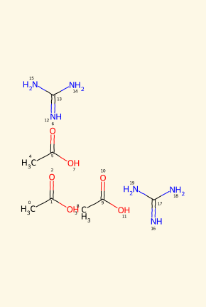 CC(=O)O.CC(=O)O.CC(=O)O.N=C(N)N.N=C(N)N